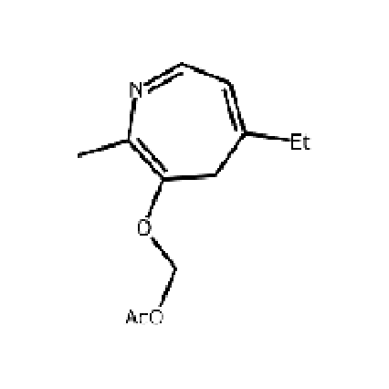 CCC1=CC=NC(C)=C(OCOC(C)=O)C1